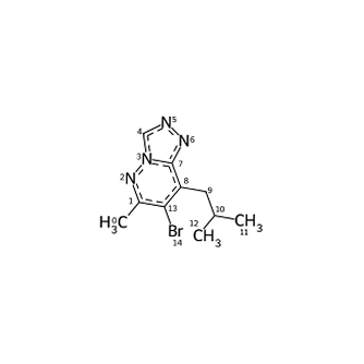 Cc1nn2cnnc2c(CC(C)C)c1Br